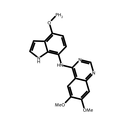 COc1cc2ncnc(Nc3ccc(OP)c4cc[nH]c34)c2cc1OC